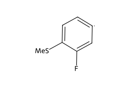 CSc1cc[c]cc1F